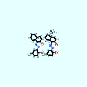 [Cr+3].[H+].[O-]c1ccc(Cl)cc1N=Nc1c([O-])ccc2ccccc12.[O-]c1ccc(Cl)cc1N=Nc1c([O-])ccc2ccccc12